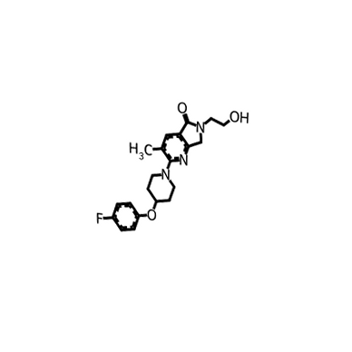 Cc1cc2c(nc1N1CCC(Oc3ccc(F)cc3)CC1)CN(CCO)C2=O